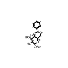 CO[C@@H]1O[C@@H]2CO[C@H](c3ccccc3)O[C@@H]2[C@H](O)[C@H]1O